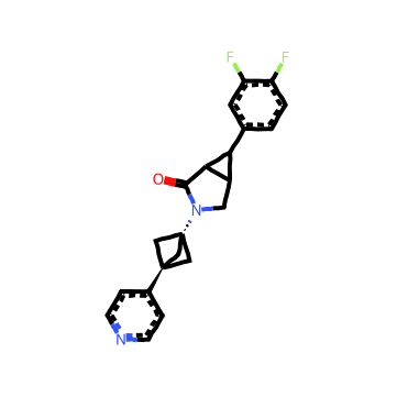 O=C1C2C(CN1[C@]13C[C@@](c4ccncc4)(C1)C3)C2c1ccc(F)c(F)c1